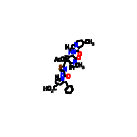 CC(=O)O[C@H](C[C@H](C(C)C)N(C)C(=O)[C@@H](NC(=O)[C@H]1CC(C)CCN1C)C1CC1)c1nc(C(=O)N[C@@H](Cc2ccccc2)C[C@H](C)C(=O)O)cs1